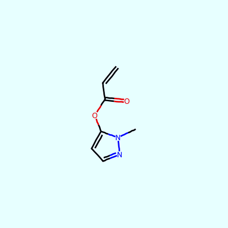 C=CC(=O)Oc1ccnn1C